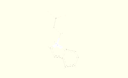 CC(O)CCn1[c]cc2ccccc21